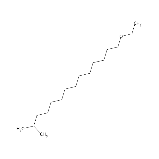 [CH2]COCCCCCCCCCCCCC(C)C